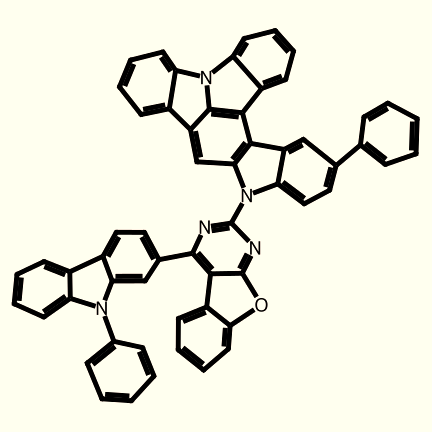 c1ccc(-c2ccc3c(c2)c2c4c5ccccc5n5c6ccccc6c(cc2n3-c2nc(-c3ccc6c7ccccc7n(-c7ccccc7)c6c3)c3c(n2)oc2ccccc23)c45)cc1